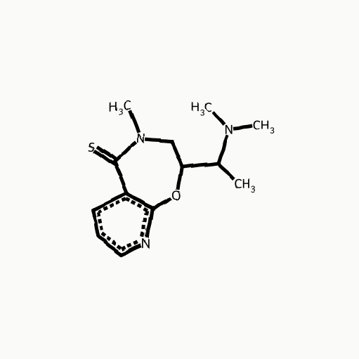 CC(C1CN(C)C(=S)c2cccnc2O1)N(C)C